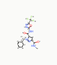 CNC(=O)c1cc(C(=O)Nc2nnc(C(F)(F)F)o2)n([C@@H](C)c2ccccc2)n1